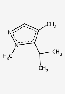 Cc1cnn(C)c1C(C)C